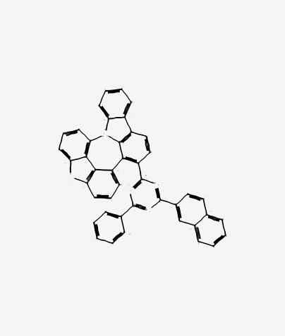 c1ccc(-c2nc(-c3ccc4ccccc4c3)nc(-c3ccc4c5ccccc5n5c6cccc7oc8cccc(c3c45)c8c76)n2)cc1